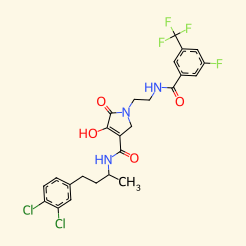 CC(CCc1ccc(Cl)c(Cl)c1)NC(=O)C1=C(O)C(=O)N(CCNC(=O)c2cc(F)cc(C(F)(F)F)c2)C1